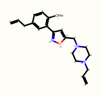 C=CCc1ccc(OC)c(-c2cc(CN3CCN(CC=C)CC3)on2)c1